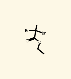 CCOC(=O)C(C)(Br)Br